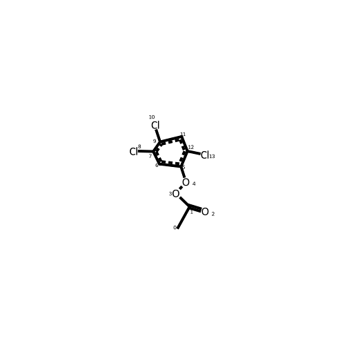 CC(=O)OOc1cc(Cl)c(Cl)cc1Cl